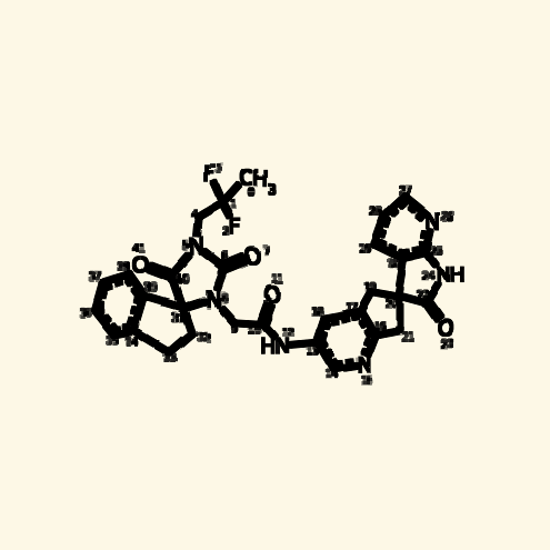 CC(F)(F)CN1C(=O)N(CC(=O)Nc2cnc3c(c2)CC2(C3)C(=O)Nc3ncccc32)C2(CCc3ccccc32)C1=O